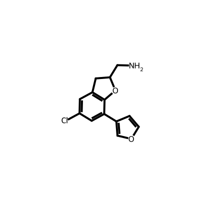 NCC1Cc2cc(Cl)cc(-c3ccoc3)c2O1